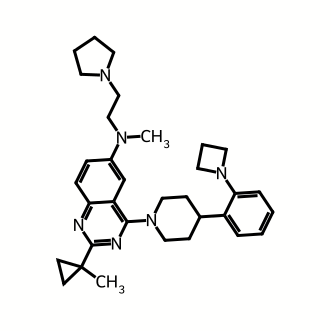 CN(CCN1CCCC1)c1ccc2nc(C3(C)CC3)nc(N3CCC(c4ccccc4N4CCC4)CC3)c2c1